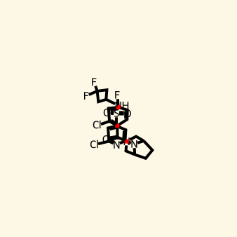 O=C(c1ccc(F)cc1Cl)N1CC2CCC(C1)N2c1cc(S(=O)(=O)NC2CC(F)(F)C2)cc(Cl)n1